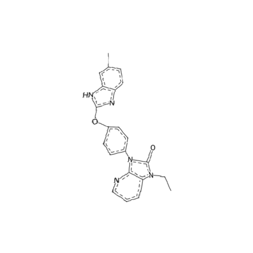 CCn1c(=O)n(-c2ccc(Oc3nc4ccc(C)cc4[nH]3)cc2)c2ncccc21